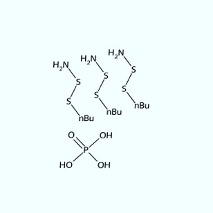 CCCCSSN.CCCCSSN.CCCCSSN.O=P(O)(O)O